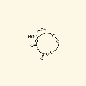 O=C1CCC(=O)OCCCCCCCCCCO1.OCCO